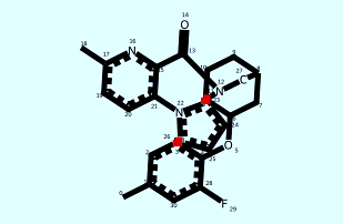 Cc1cnc(OC2CC3CCC2N(C(=O)c2nc(C)ccc2-n2nccn2)C3)c(F)c1